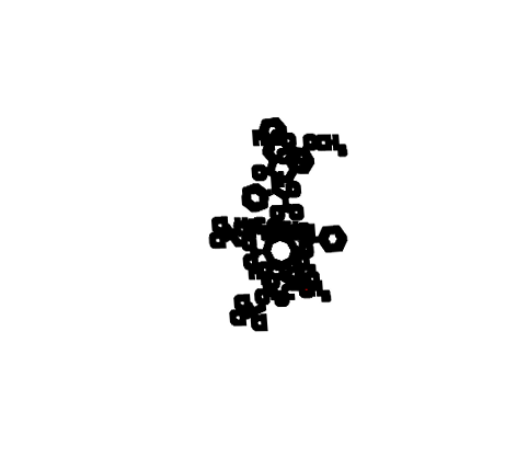 COc1ccc(C2O[C@@H](C(=O)O[C@H]3CC4(O)[C@@H](OC(=O)c5ccccc5)[C@H]5[C@](C)(C(=O)[C@H](C(=O)OCC(Cl)(Cl)Cl)C(=C3C)C4(C)C)[C@@H](OC(=O)OCC(Cl)(Cl)Cl)C[C@@]3(C)OC[C@@]53OC(C)=O)[C@H](c3ccccc3)N2C(=O)/C(C)=C/c2ccccc2)cc1OC